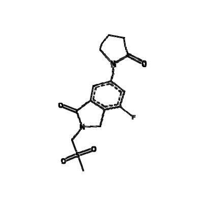 CS(=O)(=O)CN1Cc2c(F)cc(N3CCCC3=O)cc2C1=O